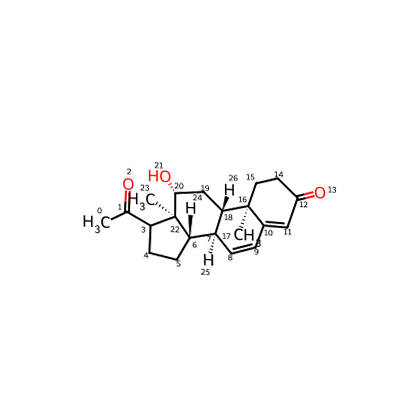 CC(=O)C1CC[C@H]2[C@@H]3C=CC4=CC(=O)CC[C@]4(C)[C@H]3C[C@@H](O)[C@]12C